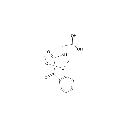 COC(OC)(C(=O)NCC(O)O)C(=O)c1ccccc1